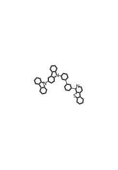 c1cc(-c2cccc(-n3c4ccccc4c4cc(-n5c6ccccc6c6ccccc65)ccc43)c2)cc(-c2nccc3c2sc2ccccc23)c1